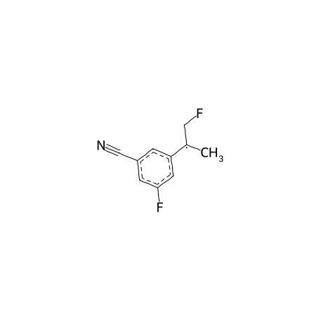 C[C](CF)c1cc(F)cc(C#N)c1